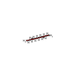 NCCNCCNCCNC(=O)CNCCNCCNCCNCCNCCNCC(=O)NCCNCCNCCN